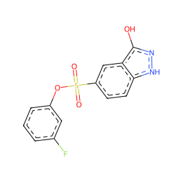 O=S(=O)(Oc1cccc(F)c1)c1ccc2[nH]nc(O)c2c1